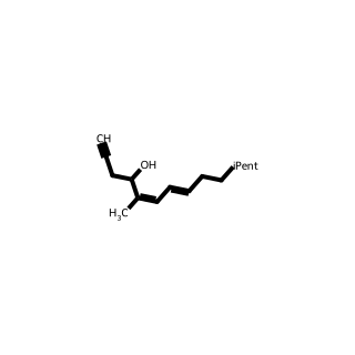 C#CCC(O)C(C)=CC=CCCC(C)CCC